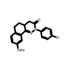 COc1ccc2c(c1)C1=NN(c3ccc(Cl)cc3)C(=O)CC1CC2